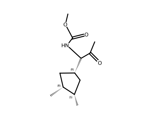 COC(=O)NC(C(C)=O)[C@H]1C[C@@H](C)[C@@H](C)C1